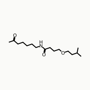 CC(=O)CCCCCNC(=O)CCCOCCC(C)C